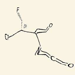 O=C=NC(=O)[C@@H](F)Cl